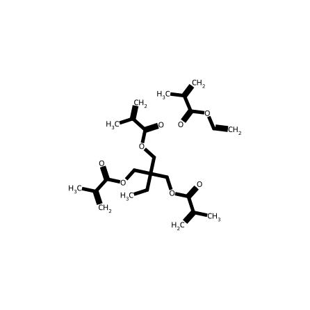 C=C(C)C(=O)OCC(CC)(COC(=O)C(=C)C)COC(=O)C(=C)C.C=COC(=O)C(=C)C